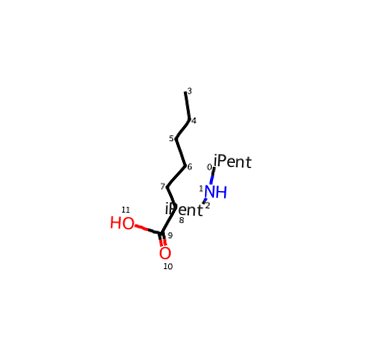 CCCC(C)NC(C)CCC.CCCCCCC(=O)O